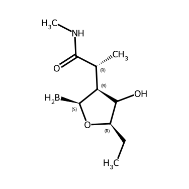 B[C@@H]1O[C@H](CC)C(O)[C@@H]1[C@@H](C)C(=O)NC